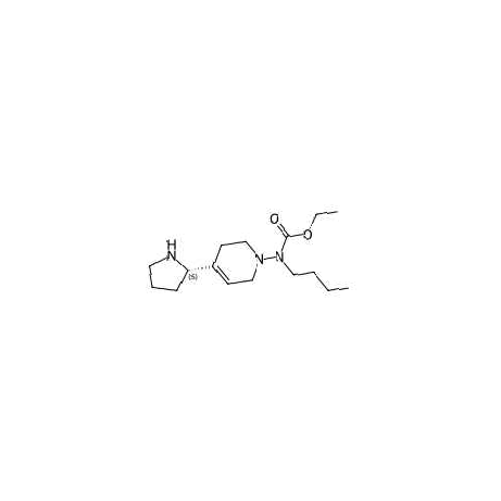 CCCCN(C(=O)OCC)N1CC=C([C@@H]2CCCN2)CC1